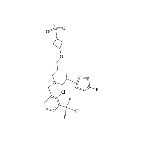 CC(CN(CCCOC1CN(S(C)(=O)=O)C1)Cc1cccc(C(F)(F)F)c1Cl)c1ccc(F)cc1